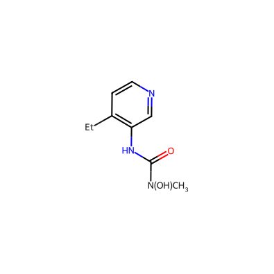 CCc1ccncc1NC(=O)N(C)O